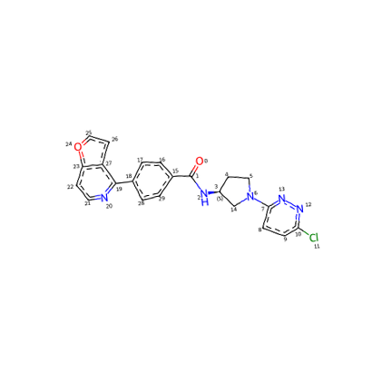 O=C(N[C@H]1CCN(c2ccc(Cl)nn2)C1)c1ccc(-c2nccc3occc23)cc1